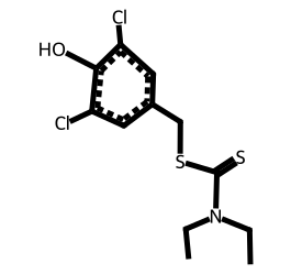 CCN(CC)C(=S)SCc1cc(Cl)c(O)c(Cl)c1